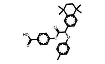 Cc1ccc(O[C@@H](C(=O)Oc2ccc(C(=O)O)cc2)c2ccc3c(c2)C(C)(C)CCC3(C)C)cc1